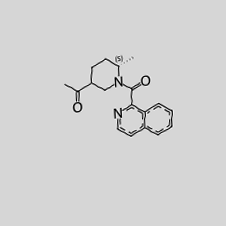 CC(=O)C1CC[C@H](C)N(C(=O)c2nccc3ccccc23)C1